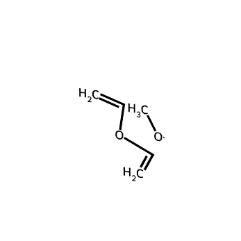 C=COC=C.C[O]